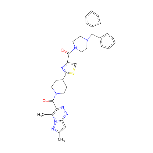 Cc1cc2nnc(C(=O)N3CCC(c4nc(C(=O)N5CCN(C(c6ccccc6)c6ccccc6)CC5)cs4)CC3)c(C)n2n1